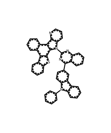 c1ccc(-n2c3ccccc3c3cc(-c4nc(-n5c6cccnc6c6c7ccccc7c7c8ccccc8sc7c65)nc5ccccc45)ccc32)cc1